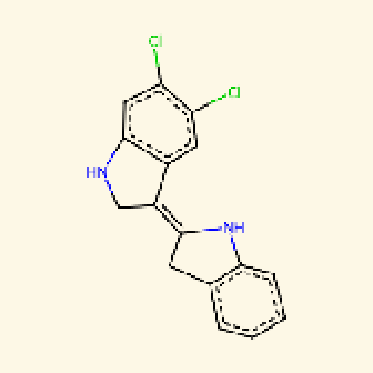 Clc1cc2c(cc1Cl)C(=C1Cc3ccccc3N1)CN2